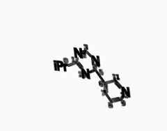 CC(C)c1ncnc(-c2cccnc2)n1